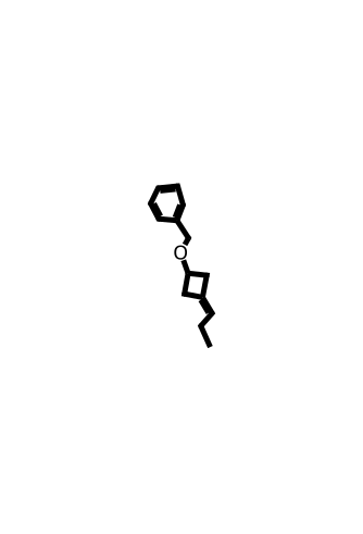 CCC=C1CC(OCc2ccccc2)C1